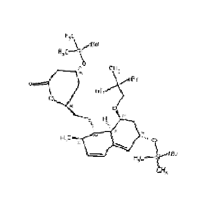 CCCC(C)(CCC)CO[C@H]1C[C@H](O[Si](C)(C)C(C)(C)C)C=C2C=C[C@@H](C)[C@H](CC[C@@H]3C[C@@H](O[Si](C)(C)C(C)(C)C)CC(=O)O3)[C@H]21